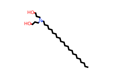 CCCCCCCCCCCCCCCCCCCCCCCN(CCCO)CCCO